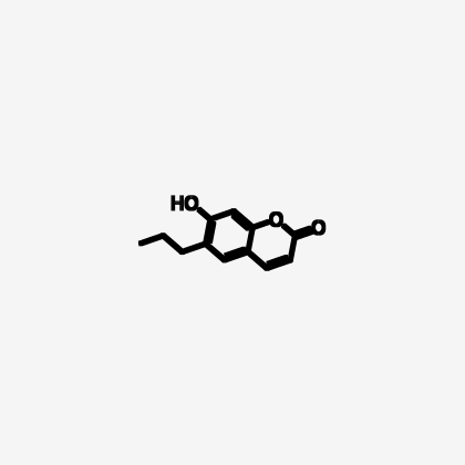 CCCc1cc2ccc(=O)oc2cc1O